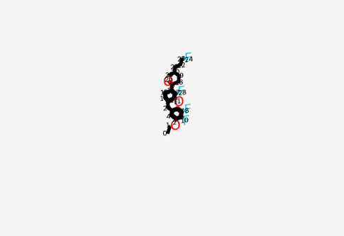 CCOc1cc2c(c(F)c1F)Oc1c(ccc(C3CCC(CCCF)CO3)c1F)C2